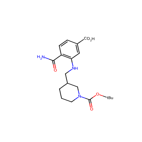 CC(C)(C)OC(=O)N1CCCC(CNc2cc(C(=O)O)ccc2C(N)=O)C1